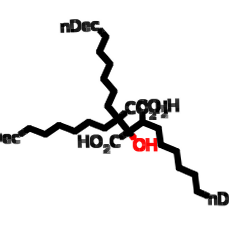 CCCCCCCCCCCCCCCCC(C(=O)O)C(O)(C(=O)O)C(CCCCCCCCCCCCCCCC)(CCCCCCCCCCCCCCCC)C(=O)O